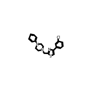 Clc1cccc(-c2csc(CN3CCN(c4ccccc4)CC3)n2)c1